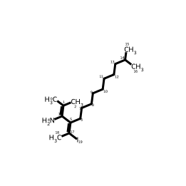 CC(C)=C(N)/C(CCCCCCCCC(C)C)=C(\C)I